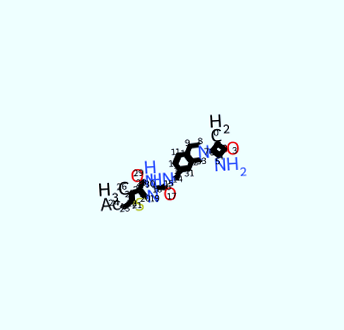 C=C1C(=O)C(N)=C1N1CCc2ccc(CNC(=O)c3nc4sc(CC(C)=O)c(C)c4c(=O)[nH]3)cc2C1